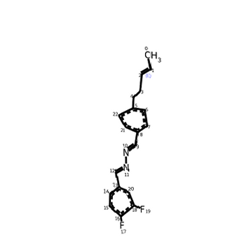 C/C=C/CCc1ccc(C=NN=Cc2ccc(F)c(F)c2)cc1